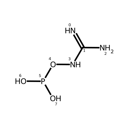 N=C(N)NOP(O)O